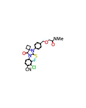 CNC(=O)COCc1ccc(N2C(=S)N(c3ccc(C#N)c(Cl)c3F)C(=O)C23CCC3)cc1